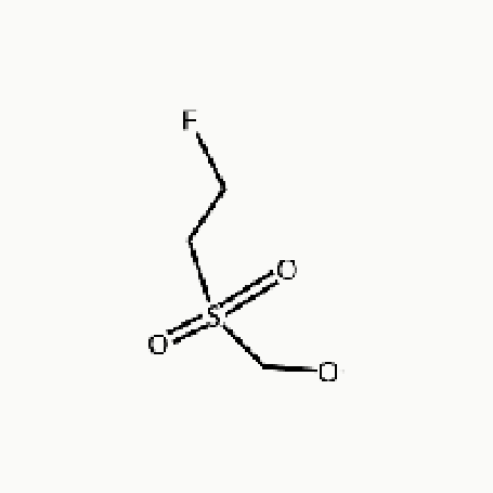 [O]CS(=O)(=O)CCF